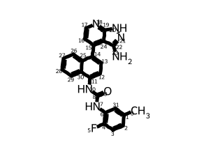 Cc1ccc(F)c(NC(=O)Nc2ccc(-c3ccnc4[nH]nc(N)c34)c3ccccc23)c1